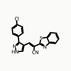 N#C/C(=C\c1c[nH]nc1-c1ccc(Cl)cc1)c1nc2ccccc2s1